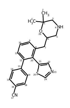 CC1(C)CNCC(Cc2cccc(-c3ccc(C#N)cc3)c2-c2cncs2)O1